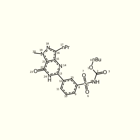 CCCCOC(=O)NS(=O)(=O)c1cccc(-c2nc3c(CCC)nn(C)c3c(=O)[nH]2)c1